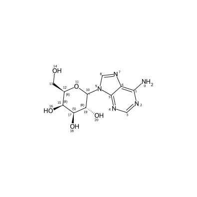 Nc1ncnc2c1ncn2[C]1O[C@H](CO)[C@H](O)[C@H](O)[C@H]1O